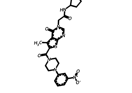 Cc1c(C(=O)N2CCN(c3cccc([N+](=O)[O-])c3)CC2)sc2ncn(CC(=O)NC3CCCC3)c(=O)c12